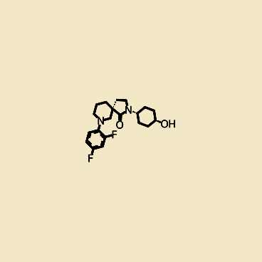 O=C1N([C@H]2CC[C@H](O)CC2)CC[C@]12CCCN(c1ccc(F)cc1F)C2